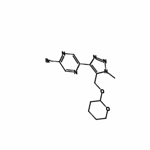 Cn1nnc(-c2cnc(Br)cn2)c1COC1CCCCO1